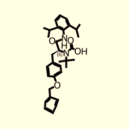 CC(C)c1cccc(C(C)C)c1NC(=O)[C@H](Cc1ccc(OCc2ccccc2)cc1)N(C(=O)O)C(C)(C)C